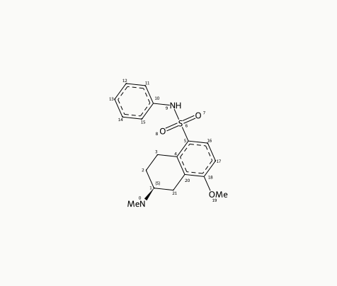 CN[C@H]1CCc2c(S(=O)(=O)Nc3ccccc3)ccc(OC)c2C1